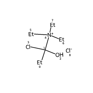 CCC(O)(Cl)[N+](CC)(CC)CC.[Cl-]